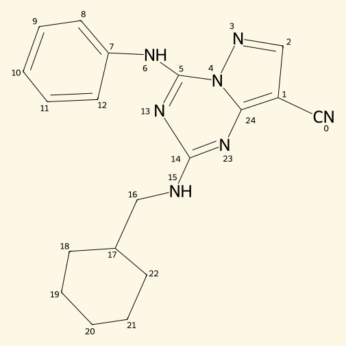 N#Cc1cnn2c(Nc3ccccc3)nc(NCC3CCCCC3)nc12